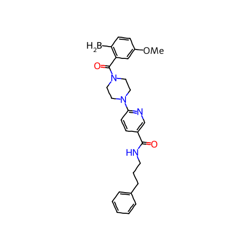 Bc1ccc(OC)cc1C(=O)N1CCN(c2ccc(C(=O)NCCCc3ccccc3)cn2)CC1